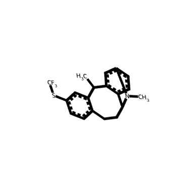 CC1c2cc(SC(F)(F)F)ccc2CCC2c3ccc(cc31)N2C